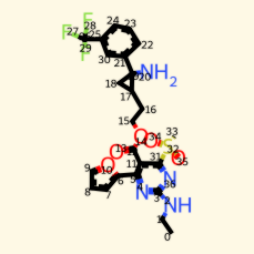 CCNc1nc(-c2ccco2)c(C(=O)OCCC2CC2(N)c2cccc(C(F)(F)F)c2)c(S(C)(=O)=O)n1